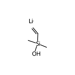 C=C[Si](C)(C)O.[Li]